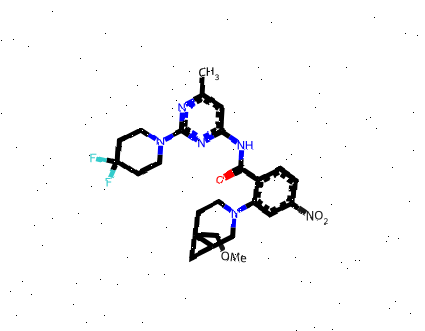 COCC12CCN(c3cc([N+](=O)[O-])ccc3C(=O)Nc3cc(C)nc(N4CCC(F)(F)CC4)n3)CC1C2